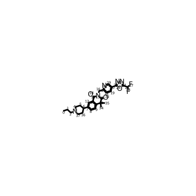 CCCN1CCC(c2ccc3c(c2)C(=O)N(Cc2ccc(-c4nnc(C(F)F)o4)cn2)C(=O)C3(C)C)CC1